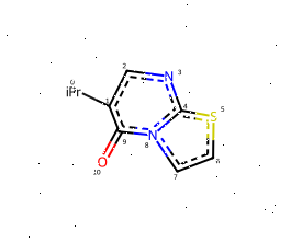 CC(C)c1cnc2sccn2c1=O